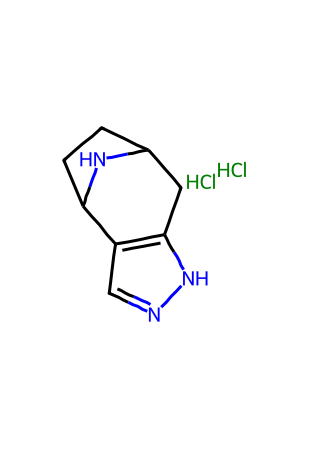 Cl.Cl.c1n[nH]c2c1C1CCC(C2)N1